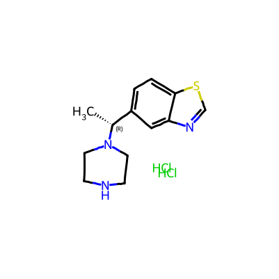 C[C@H](c1ccc2scnc2c1)N1CCNCC1.Cl.Cl